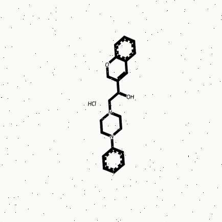 Cl.OC(CN1CCN(c2ccccc2)CC1)C1=Cc2ccccc2OC1